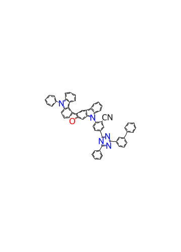 N#Cc1cc(-c2nc(-c3ccccc3)nc(-c3cccc(-c4ccccc4)c3)n2)ccc1-n1c2ccccc2c2cc3c(cc21)oc1ccc2c(c4ccccc4n2-c2ccccc2)c13